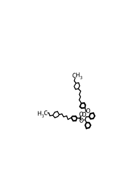 CCCC1CCC(CCCCc2ccc(C(=O)O[C@H](c3ccccc3)[C@H](OC(=O)c3ccc(CCCCC4CCC(CCC)CC4)cc3)c3ccccc3)cc2)CC1